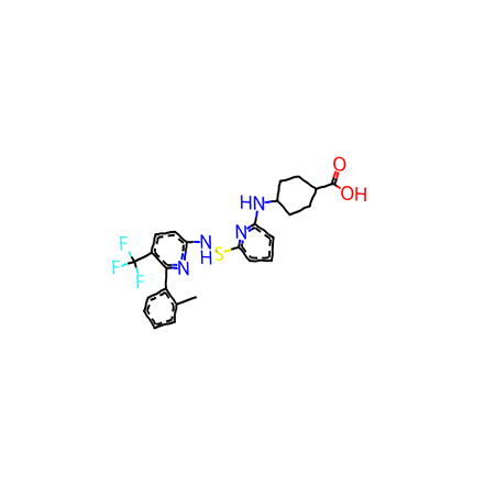 Cc1ccccc1-c1nc(NSc2cccc(NC3CCC(C(=O)O)CC3)n2)ccc1C(F)(F)F